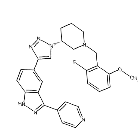 COc1cccc(F)c1CN1CCC[C@@H](n2cc(-c3ccc4[nH]nc(-c5ccncc5)c4c3)nn2)C1